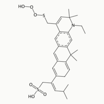 CCN1c2cc3c(cc2C(CSOOO)=CC1(C)C)C=C1C=C(/C(=C\C(C)C)CS(=O)(=O)O)CC=C1C3(C)C